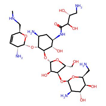 CNC[C@@H]1C=C[C@@H](N)[C@@H](O[C@H]2[C@H](O[C@@H]3O[C@H](CO)[C@@H](O[C@H]4O[C@@H](CN)[C@@H](O)[C@H](O)[C@H]4N)[C@H]3O)[C@@H](O)[C@H](NC(=O)C(O)[C@H](O)CN)C[C@@H]2N)O1